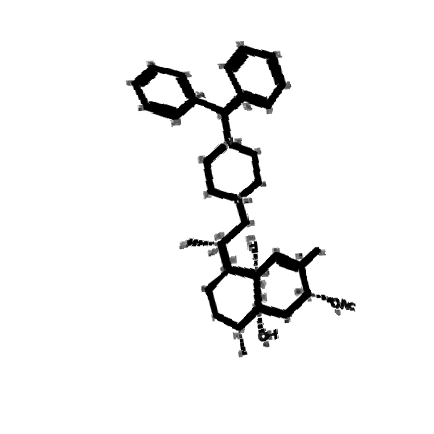 CC(=O)O[C@@H]1[C][C@@]2(O)[C@H](C)CC[C@@H]([C@H](C)CN3CCN(C(c4ccccc4)c4ccccc4)CC3)[C@H]2C=C1C